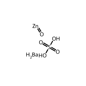 O=S(=O)(O)O.[BaH2].[O]=[Zn]